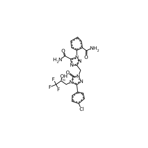 NC(=O)c1ccccc1-n1nc(Cn2nc(-c3ccc(Cl)cc3)n(C[C@H](O)C(F)(F)F)c2=O)nc1C(N)=O